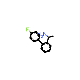 CC(N)c1ccccc1-c1ccc(F)cc1